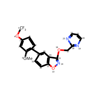 COc1cc(OC(F)(F)F)ccc1-c1ccc2onc(OCc3ncccn3)c2c1